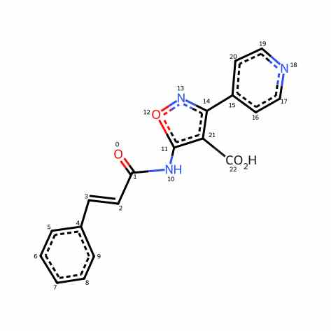 O=C(C=Cc1ccccc1)Nc1onc(-c2ccncc2)c1C(=O)O